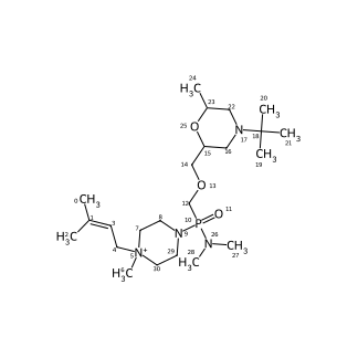 CC(C)=CC[N+]1(C)CCN(P(=O)(COCC2CN(C(C)(C)C)CC(C)O2)N(C)C)CC1